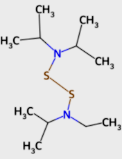 CCN(SSN(C(C)C)C(C)C)C(C)C